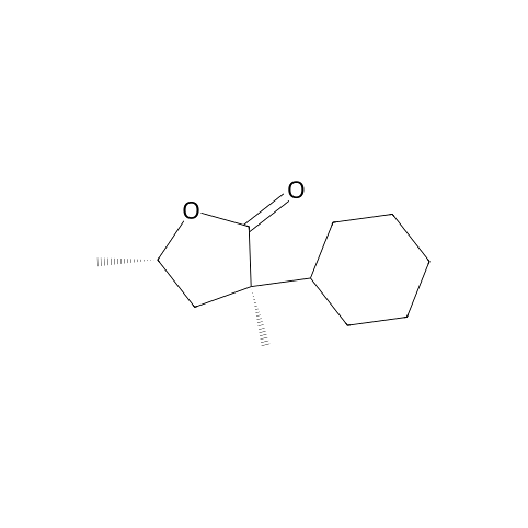 C[C@H]1C[C@](C)(C2CCCCC2)C(=O)O1